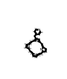 C1=Cc2cc3cc(Cc4ccncc4)c(cc4nc(cc5ccc(cc1n2)[nH]5)C=C4)[nH]3